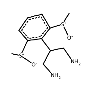 C[S+]([O-])c1cccc([S+](C)[O-])c1C(CN)CN